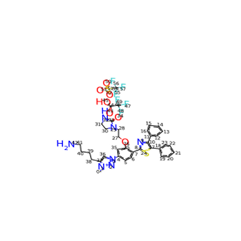 C[n+]1nn(-c2ccc(-c3nc(-c4ccccc4)c(-c4ccccc4)s3)c(OCCN3CCNC3=O)c2)cc1CCCCN.O=C(O)C(F)(F)F.O=S(=O)([O-])C(F)(F)F